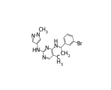 [CH2][C](Nc1nc(Nc2cnn(C)c2)ncc1C)c1cccc(Br)c1